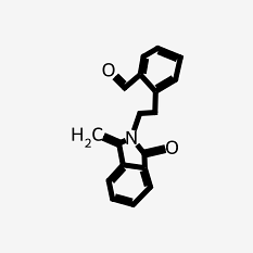 C=C1c2ccccc2C(=O)N1CCc1ccccc1C=O